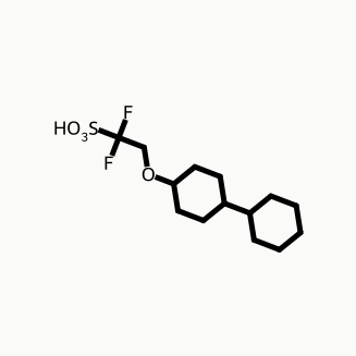 O=S(=O)(O)C(F)(F)COC1CCC(C2CCCCC2)CC1